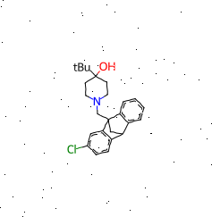 CC(C)(C)C1(O)CCN(CC23CC(c4ccccc42)c2ccc(Cl)cc23)CC1